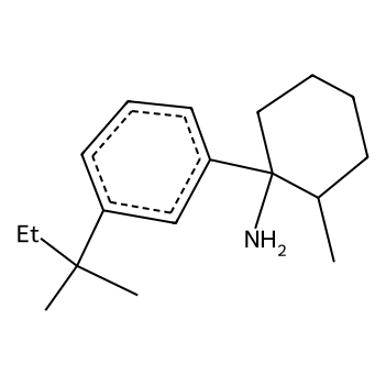 CCC(C)(C)c1cccc(C2(N)CCCCC2C)c1